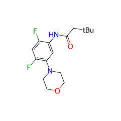 CC(C)(C)CC(=O)Nc1cc(N2CCOCC2)c(F)cc1F